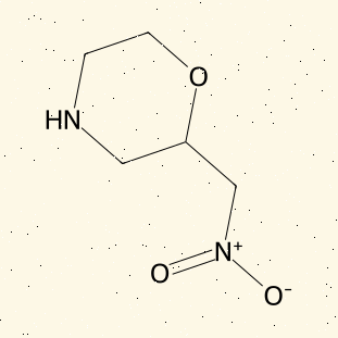 O=[N+]([O-])CC1CNCCO1